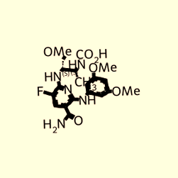 COC[C@@H](Nc1nc(Nc2cc(OC)cc(OC)c2)c(C(N)=O)cc1F)[C@H](C)NC(=O)O